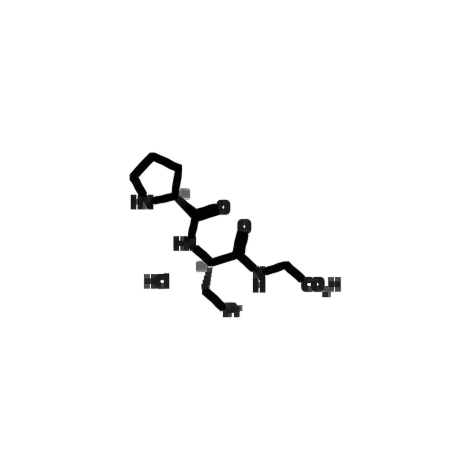 CC(C)C[C@H](NC(=O)[C@@H]1CCCN1)C(=O)NCC(=O)O.Cl